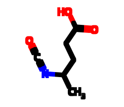 CC(CCC(=O)O)N=C=O